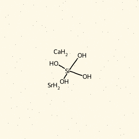 O[Si](O)(O)O.[CaH2].[SrH2]